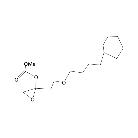 COC(=O)OC1(CCOCCCCC2CCCCC2)CO1